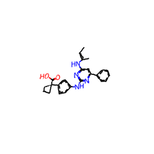 C/C=C(\C)Nc1cc(-c2ccccc2)nc(Nc2ccc(C3(C(=O)O)CCC3)cc2)n1